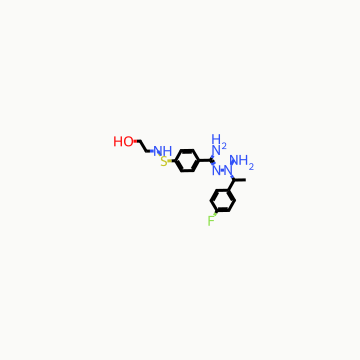 CC(c1ccc(F)cc1)N(N)/N=C(\N)c1ccc(SNCCO)cc1